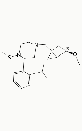 CO[C@@H]1CC2(CN3CCN(SC)C(c4ccccc4C(C)C)C3)CC12